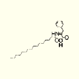 CCCCCCCCCCCCCCCC(=O)N[C@@H](Cc1ccccc1)C(=O)O